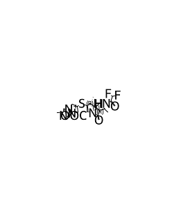 CC(NC(=O)C(F)F)[C@H]1C(=O)N2C(C(=O)[O-])=C(SC3Cn4cnc[n+]4C3)[C@H](C)[C@H]12